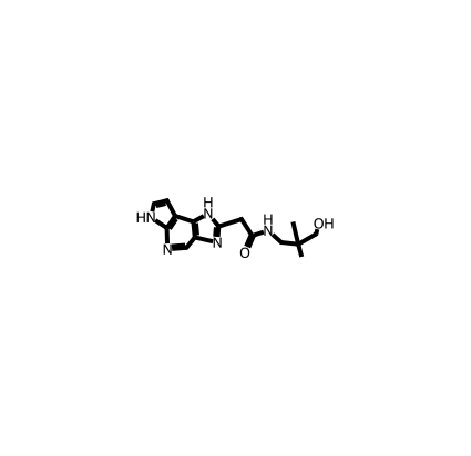 CC(C)(CO)CNC(=O)Cc1nc2cnc3[nH]ccc3c2[nH]1